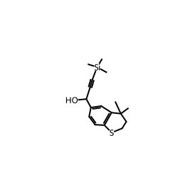 CC1(C)CCSc2ccc(C(O)C#C[Si](C)(C)C)cc21